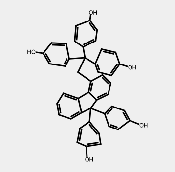 Oc1ccc(C(Cc2cccc3c2-c2ccccc2C3(c2ccc(O)cc2)c2ccc(O)cc2)(c2ccc(O)cc2)c2ccc(O)cc2)cc1